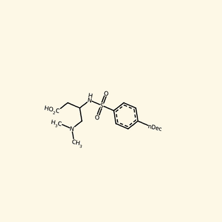 CCCCCCCCCCc1ccc(S(=O)(=O)NC(CC(=O)O)CN(C)C)cc1